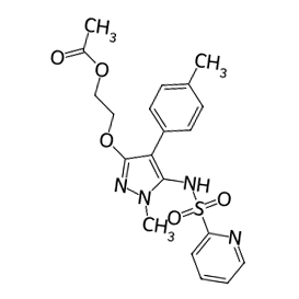 CC(=O)OCCOc1nn(C)c(NS(=O)(=O)c2ccccn2)c1-c1ccc(C)cc1